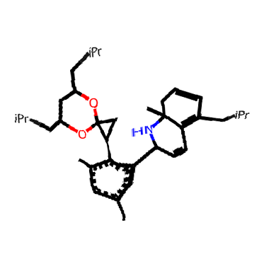 Cc1cc(C)c([C@@H]2CC23OC(CC(C)C)CC(CC(C)C)O3)c(C2C=CC3=C(CC(C)C)C=CCC3(C)N2)c1